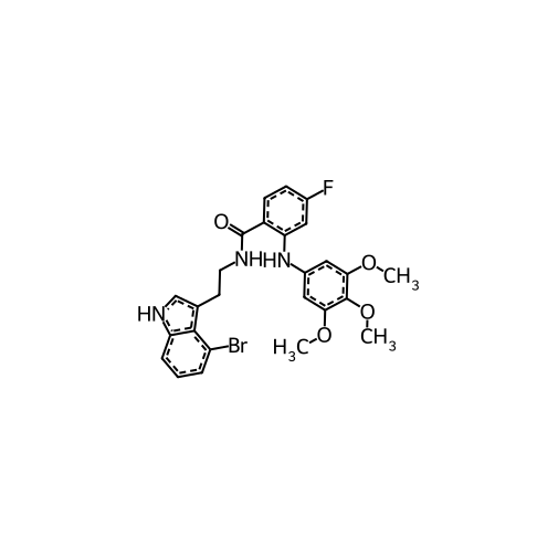 COc1cc(Nc2cc(F)ccc2C(=O)NCCc2c[nH]c3cccc(Br)c23)cc(OC)c1OC